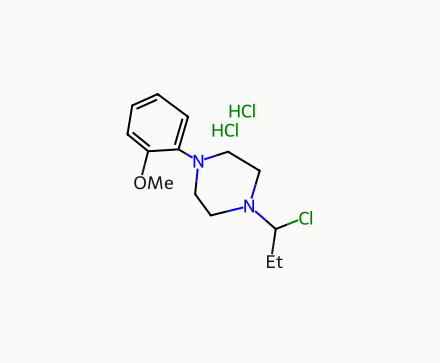 CCC(Cl)N1CCN(c2ccccc2OC)CC1.Cl.Cl